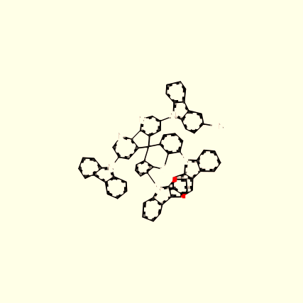 N#Cc1ccc2c(c1)c1ccccc1n2-c1cnc2c(c1)C1(c3cc(-n4c5ccccc5c5ccccc54)cnc3-2)c2cccc(-n3c4ccccc4c4ccccc43)c2Sc2c(-n3c4ccccc4c4ccccc43)cccc21